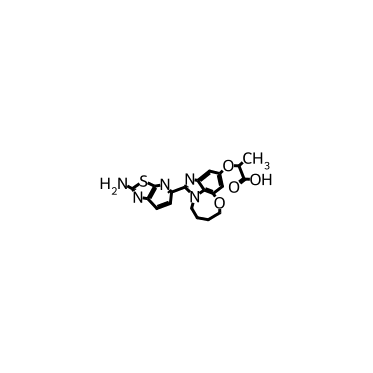 CC(Oc1cc2c3c(c1)nc(-c1ccc4nc(N)sc4n1)n3CCCCO2)C(=O)O